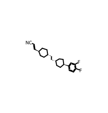 N#CC=C[C@H]1CC[C@H](CC[C@H]2CC[C@H](c3ccc(F)c(F)c3)CC2)CC1